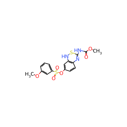 COC(=O)NC1=Nc2ccc(OS(=O)(=O)c3cccc(OC)c3)cc2NS1